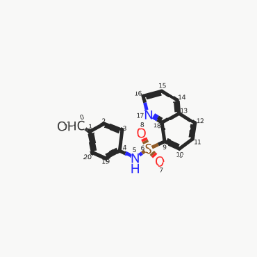 O=Cc1ccc(NS(=O)(=O)c2cccc3cccnc23)cc1